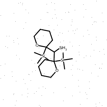 C[Si](C)(C)C1(C([SiH3])C2([Si](C)(C)C)CCCCO2)CCCCO1